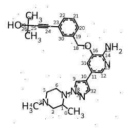 CC1CN(C)CCN1n1cc(-c2cnc(N)c(OCc3cccc(C#CC(C)(C)O)c3)c2)cn1